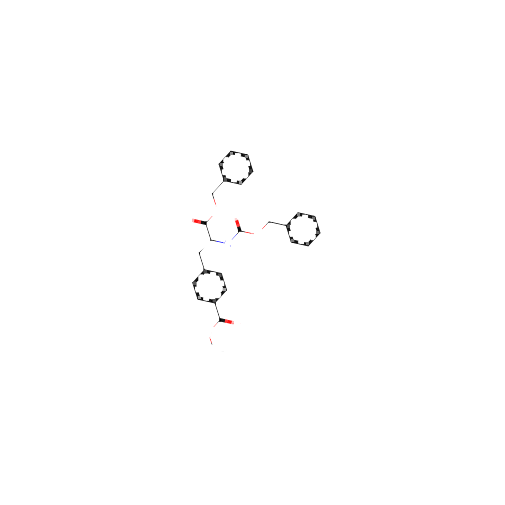 CC(C)(C)OC(=O)c1ccc(C[C@H](NC(=O)OCc2ccccc2)C(=O)OCc2ccccc2)cc1